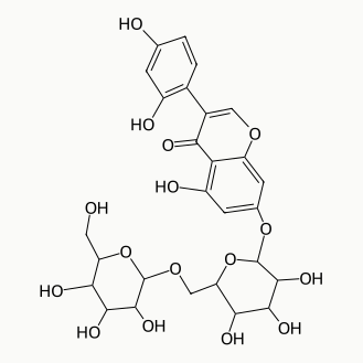 O=c1c(-c2ccc(O)cc2O)coc2cc(OC3OC(COC4OC(CO)C(O)C(O)C4O)C(O)C(O)C3O)cc(O)c12